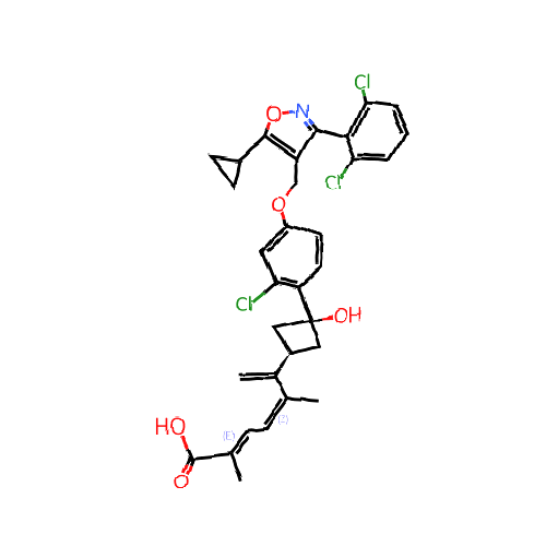 C=C(/C(C)=C\C=C(/C)C(=O)O)[C@H]1C[C@](O)(c2ccc(OCc3c(-c4c(Cl)cccc4Cl)noc3C3CC3)cc2Cl)C1